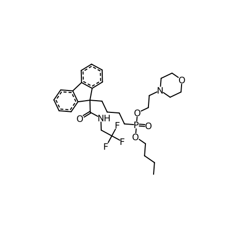 CCCCOP(=O)(CCCCC1(C(=O)NCC(F)(F)F)c2ccccc2-c2ccccc21)OCCN1CCOCC1